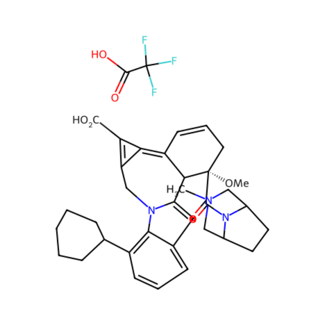 CO[C@@]1(C(=O)N2C3CCC2CN(C)C3)CC=CC2=C3C(=C3C(=O)O)Cn3c(cc4cccc(C5CCCCC5)c43)C21.O=C(O)C(F)(F)F